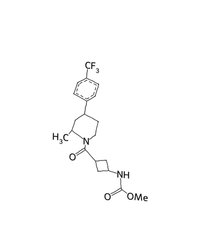 COC(=O)NC1CC(C(=O)N2CCC(c3ccc(C(F)(F)F)cc3)CC2C)C1